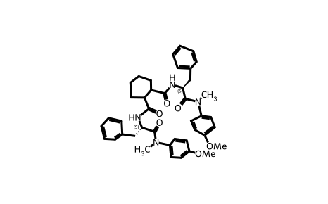 COc1ccc(N(C)C(=O)[C@H](Cc2ccccc2)NC(=O)C2CCCCC2C(=O)N[C@@H](Cc2ccccc2)C(=O)N(C)c2ccc(OC)cc2)cc1